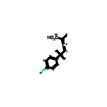 CC(=C=CC(C)(C)c1ccc(F)cc1)C(=O)O